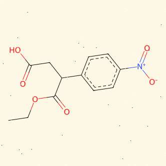 CCOC(=O)C(CC(=O)O)c1ccc([N+](=O)[O-])cc1